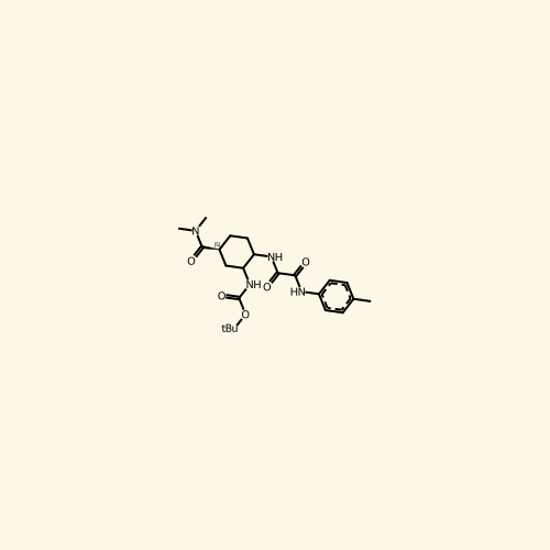 Cc1ccc(NC(=O)C(=O)NC2CC[C@H](C(=O)N(C)C)CC2NC(=O)OC(C)(C)C)cc1